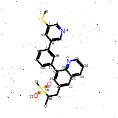 CSc1cncc(-c2cccc(-c3cc(CC(C)S(C)(=O)=O)cc4cccnc34)c2)c1